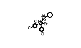 CCc1c(-c2nnc(C3CCCCCC3)s2)nn(-c2ccc(Cl)cc2Cl)c1-c1ccc(Cl)cc1